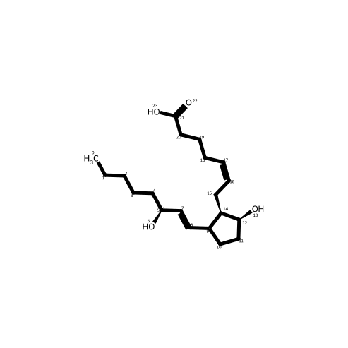 CCCCC[C@H](O)/C=C/C1CC[C@H](O)[C@@H]1C/C=C\CCCC(=O)O